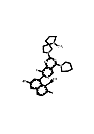 C#Cc1c(F)ccc2cc(O)cc(-c3ncc4c(N5CCCCC5)nc(N5CCC6(CCCN6C)C5)nc4c3F)c12